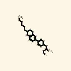 CCCCCCC1CCc2cc(-c3ccc(CC(C)CC)cc3)ccc2C1